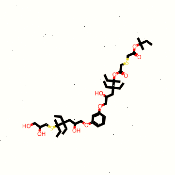 CCC(C)(C)OC(=O)CSCC(=O)OC(C)(CC)C(CC)(CC)CC(O)COc1cccc(OCC(O)CC(CC)(CC)C(C)(CC)SCC(O)CO)c1